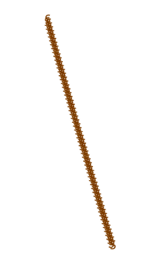 S=S=S=S=S=S=S=S=S=S=S=S=S=S=S=S=S=S=S=S=S=S=S=S=S=S=S=S=S=S=S=S=S=S=S=S=S=S=S=S=S=S=S=S=S=S=S=S=S=S=S=S=S=S=S=S=S=S=S=S=S=S=S=S=S=S=S=S=S=S=S=S=S=S=S=S=S=S=S=S=S=S=S=S=S=S=S=S=S=S=S=S=S=S=S=S=S=S=S=S=S=S=S=S=S=S=S=S=S=S=S=S=S=S=S=S=S